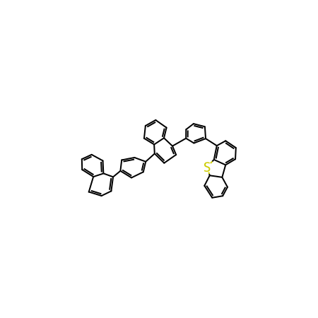 C1=CC2Sc3c(-c4cccc(-c5ccc(-c6ccc(-c7cccc8ccccc78)cc6)c6ccccc56)c4)cccc3C2C=C1